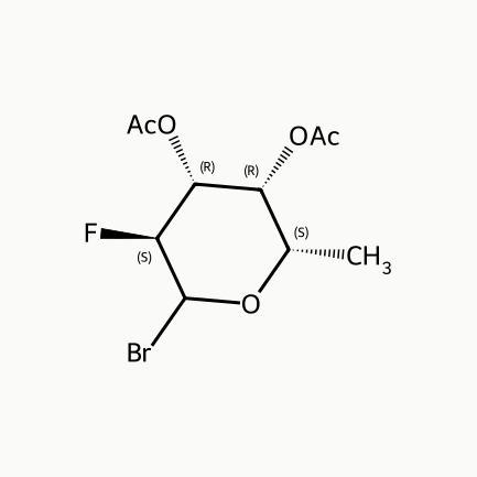 CC(=O)O[C@@H]1[C@H](OC(C)=O)[C@H](C)OC(Br)[C@H]1F